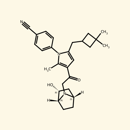 Cc1c(C(=O)CN2[C@H]3CC[C@@H]2[C@H](O)C3)cc(CC2CC(C)(C)C2)n1-c1ccc(C#N)cc1